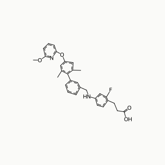 COc1cccc(Oc2cc(C)c(-c3cccc(CNc4ccc(CCC(=O)O)c(F)c4)c3)c(C)c2)n1